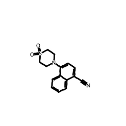 N#Cc1ccc(N2CCS(=O)(=O)CC2)c2ccccc12